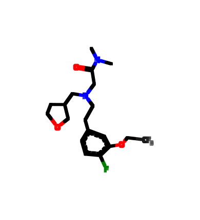 CN(C)C(=O)CN(CCc1ccc(F)c(OCC(F)(F)F)c1)CC1CCOC1